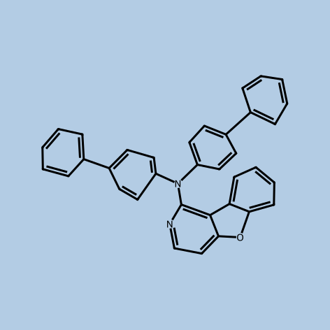 c1ccc(-c2ccc(N(c3ccc(-c4ccccc4)cc3)c3nccc4oc5ccccc5c34)cc2)cc1